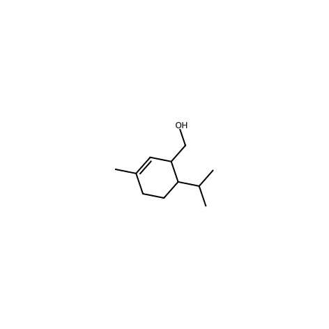 CC1=CC(CO)C(C(C)C)CC1